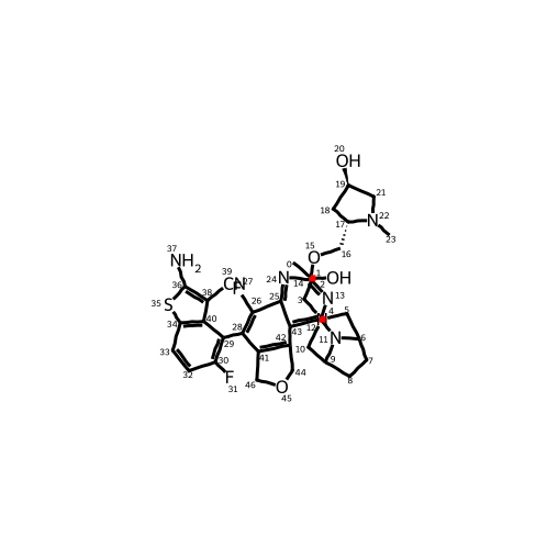 CC(O)CN1CC2CCC(C1)N2c1nc(OC[C@@H]2C[C@@H](O)CN2C)nc2c(F)c(-c3c(F)ccc4sc(N)c(C#N)c34)c3c(c12)COC3